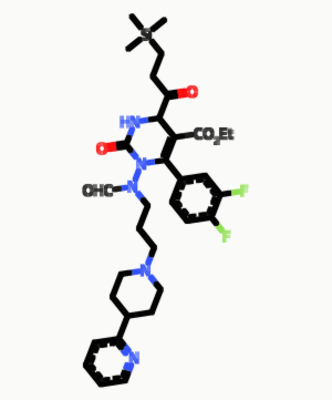 CCOC(=O)C1=C(c2ccc(F)c(F)c2)N(N(C=O)CCCN2CCC(c3ccccn3)CC2)C(=O)NC1C(=O)CC[Si](C)(C)C